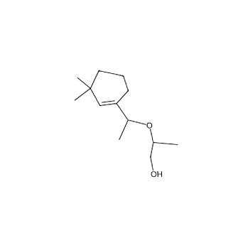 CC(CO)OC(C)C1=CC(C)(C)CCC1